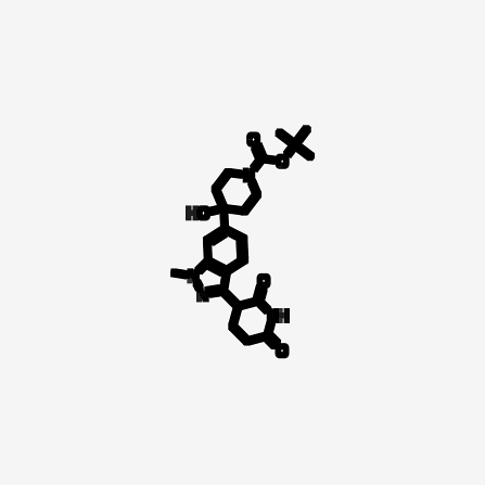 Cn1nc(C2CCC(=O)NC2=O)c2ccc(C3(O)CCN(C(=O)OC(C)(C)C)CC3)cc21